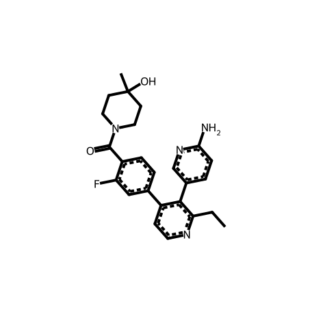 CCc1nccc(-c2ccc(C(=O)N3CCC(C)(O)CC3)c(F)c2)c1-c1ccc(N)nc1